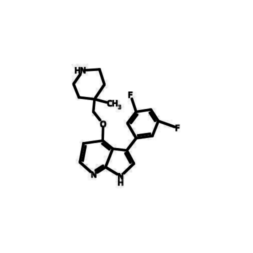 CC1(COc2ccnc3[nH]cc(-c4cc(F)cc(F)c4)c23)CCNCC1